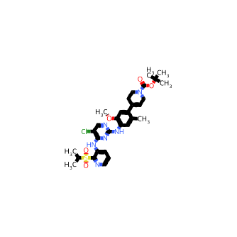 COc1cc(C2=CCN(C(=O)OC(C)(C)C)CC2)c(C)cc1Nc1ncc(Cl)c(Nc2cccnc2S(=O)(=O)C(C)C)n1